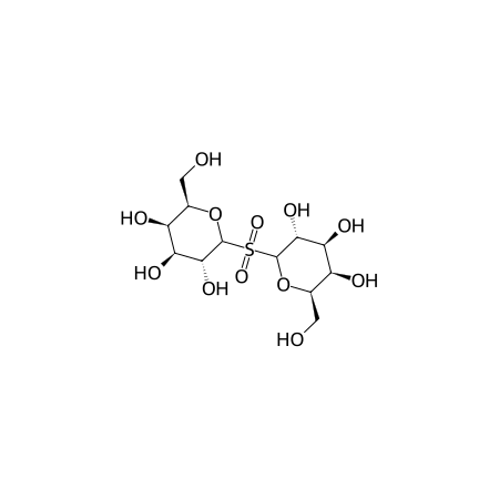 O=S(=O)(C1O[C@H](CO)[C@H](O)[C@H](O)[C@H]1O)C1O[C@H](CO)[C@H](O)[C@H](O)[C@H]1O